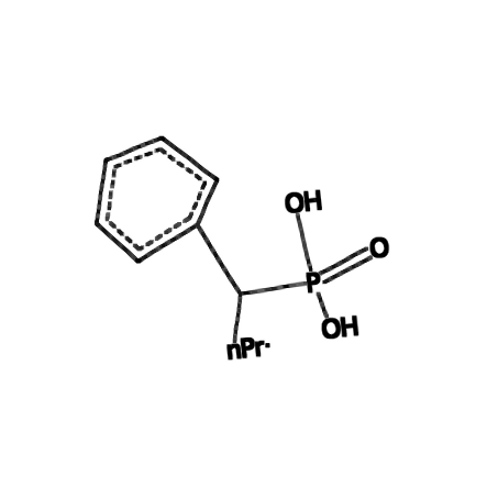 CC[CH]C(c1ccccc1)P(=O)(O)O